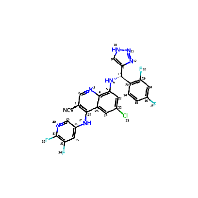 N#Cc1cnc2c(N[C@H](c3c[nH]nn3)c3ccc(F)cc3F)cc(Cl)cc2c1Nc1cnc(F)c(F)c1